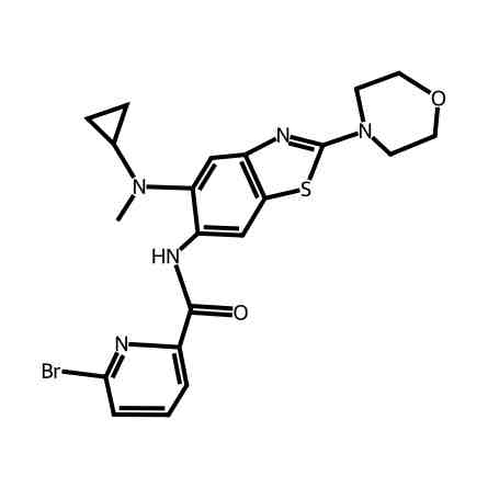 CN(c1cc2nc(N3CCOCC3)sc2cc1NC(=O)c1cccc(Br)n1)C1CC1